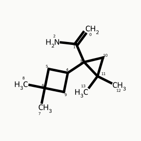 C=C(N)C1(C2CC(C)(C)C2)CC1(C)C